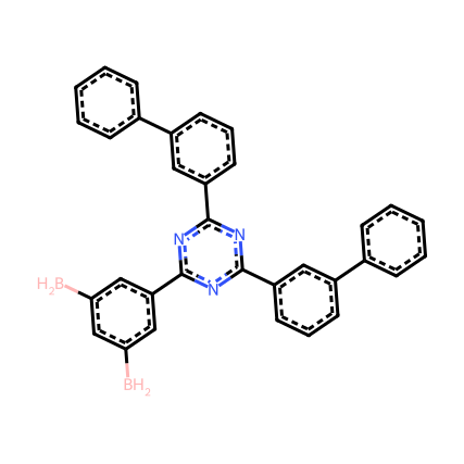 Bc1cc(B)cc(-c2nc(-c3cccc(-c4ccccc4)c3)nc(-c3cccc(-c4ccccc4)c3)n2)c1